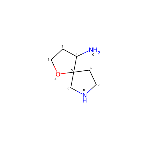 NC1CCOC12CCNC2